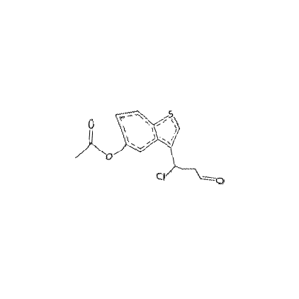 CC(=O)Oc1ccc2scc(C(Cl)CC=O)c2c1